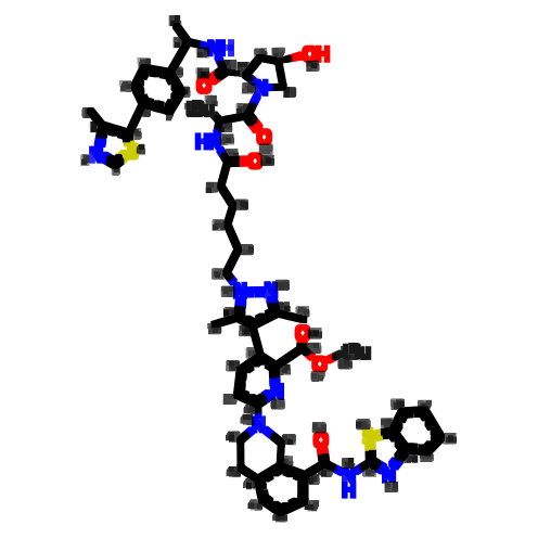 Cc1ncsc1-c1ccc(C(C)NC(=O)[C@@H]2C[C@@H](O)CN2C(=O)C(NC(=O)CCCCCn2nc(C)c(-c3ccc(N4CCc5cccc(C(=O)Nc6nc7ccccc7s6)c5C4)nc3C(=O)OC(C)(C)C)c2C)C(C)(C)C)cc1